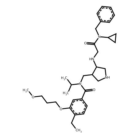 CCc1ccc(C(=O)N(CC2CNCC2NCC(=O)N(Cc2ccccc2)C2CC2)C(C)C)cc1OCCCOC